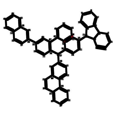 C1#CC2C(C=C1)c1ccccc1N2c1ccc(N(c2ccc3c(ccc4ccccc43)c2)c2ccc(-c3ccc4ccccc4c3)cc2-c2ccccc2)cc1